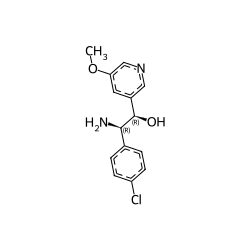 COc1cncc([C@@H](O)[C@H](N)c2ccc(Cl)cc2)c1